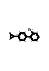 CCc1ccccc1-c1c[c]c(C2CC2)cc1